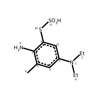 CCN(CC)c1cc(C)c(N)c(SS(=O)(=O)O)c1